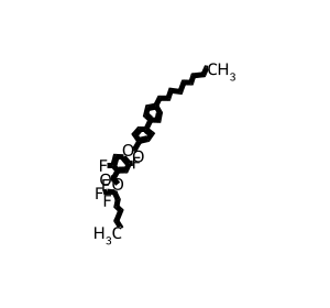 CCCCCCCCCCc1ccc(-c2ccc(C(=O)Oc3cc(F)c(C(=O)OC(CCCCCC)C(F)(F)F)cc3F)cc2)cc1